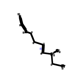 CC(C)C[S+]([O-])/C=C/CCN=C=S